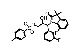 Cc1ccc(S(=O)(=O)OCC(O)C(c2cccc(F)c2)N2C(=O)C(C)(C)c3cccc(F)c32)cc1